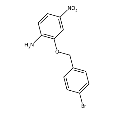 Nc1ccc([N+](=O)[O-])cc1OCc1ccc(Br)cc1